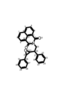 O=C1c2cccc3cccc(c23)C(=O)N1CC(c1ccccc1)C1OC1c1ccccc1